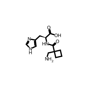 NCC1(C(=O)N[C@@H](Cc2c[nH]cn2)C(=O)O)CCC1